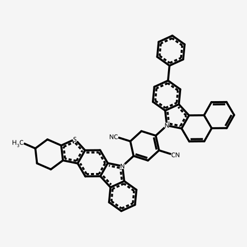 CC1CCc2c(sc3cc4c(cc23)c2ccccc2n4C2=CC(C#N)=C(n3c4c(c5cc(-c6ccccc6)ccc53)C3C=CC=CC3C=C4)CC2C#N)C1